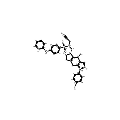 C[C@@H]1C2=C(CC[C@@H]2CN(CC#N)S(=O)(=O)c2ccc(Oc3ccccn3)cc2)Cc2c1cnn2-c1ccc(F)cc1